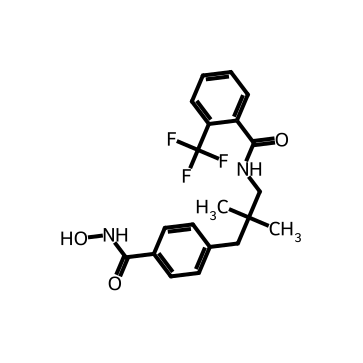 CC(C)(CNC(=O)c1ccccc1C(F)(F)F)Cc1ccc(C(=O)NO)cc1